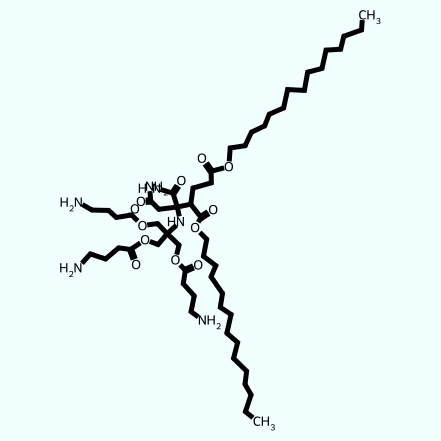 CCCCCCCCCCCCCCCOC(=O)CCC(C(=O)OCCCCCCCCCCCCCCC)C(CC(N)=O)(NC(COC(=O)CCCN)(COC(=O)CCCN)COC(=O)CCCN)C(N)=O